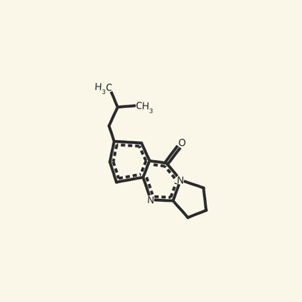 CC(C)Cc1ccc2nc3n(c(=O)c2c1)CCC3